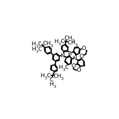 Cc1cc2c3c(c1)N(c1cccc4c1OCCO4)c1c(ccc4c1OCCO4)B3c1cc(C(C)(C)C)ccc1N2c1cc(-c2ccc(C(C)(C)C)cc2)cc(-c2ccc(C(C)(C)C)cc2)c1